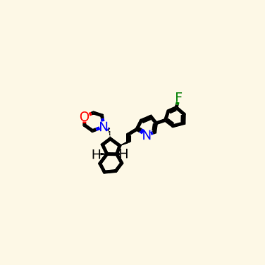 Fc1cccc(-c2ccc(C=C[C@@H]3[C@@H](CN4CCOCC4)C[C@H]4CCCC[C@H]43)nc2)c1